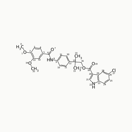 COc1ccc(C(=O)Nc2ccc(C(C)(C)COC(=O)c3c[nH]c4ccc(Cl)cc34)cc2)cc1OC